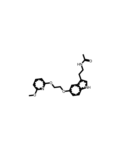 COc1cccc(OCCOc2ccc3[nH]cc(CCNC(C)=O)c3c2)n1